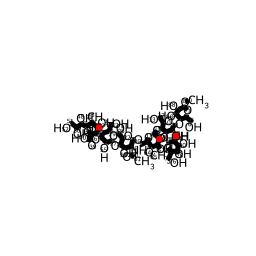 COC1OC(CO)C(OC2OC(CO)C(OC3OC(COC4OC(CO)C(OC5OC(CO)C(O)C(OC6(C(=O)O)CC(O)C(C)C(C(O)[C@@H](O)CO)O6)C5O)C(O)C4NC(C)=O)C(OC)C(O)C3O)C(OC3OC(CO)C(O)C(O)C3O)C2O)C(O)C1O